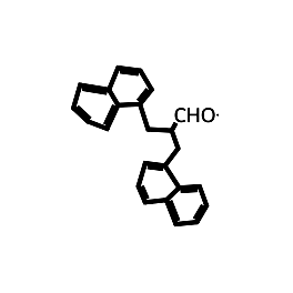 O=[C]C(Cc1cccc2ccccc12)Cc1cccc2ccccc12